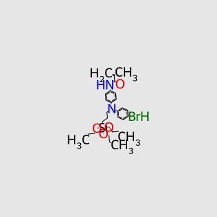 Br.C=C(C)C(=O)Nc1ccc(N(CCC[Si](OCCC)(OCCC)OCCC)c2ccccc2)cc1